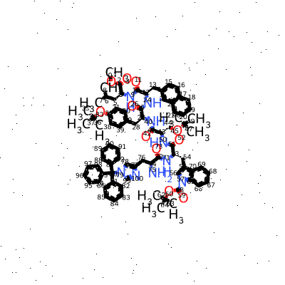 COC(=O)[C@H](CC(C)C)NC(=O)[C@@H](Cc1ccc2ccccc2c1)NC(=O)[C@H](Cc1ccc(OC(C)(C)C)cc1)NC(=O)[C@H](COC(C)(C)C)NC(=O)[C@H](Cc1cn(C(=O)OC(C)(C)C)c2ccccc12)NC(=O)[C@@H](N)Cc1cn(C(c2ccccc2)(c2ccccc2)c2ccccc2)cn1